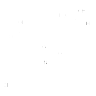 CC(C)(C)c1ccc(Oc2nc(-c3ccc(Cl)cc3)c(CCC(=O)O)o2)cc1